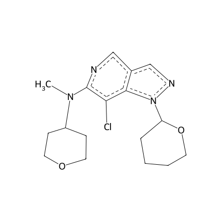 CN(c1ncc2cnn(C3CCCCO3)c2c1Cl)C1CCOCC1